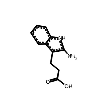 Nc1[nH]c2ccccc2c1CCC(=O)O